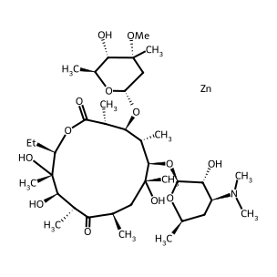 CC[C@H]1OC(=O)[C@H](C)[C@@H](O[C@H]2C[C@@](C)(OC)[C@@H](O)[C@H](C)O2)[C@H](C)[C@@H](O[C@@H]2O[C@H](C)C[C@H](N(C)C)[C@H]2O)[C@](C)(O)C[C@@H](C)C(=O)[C@H](C)[C@@H](O)[C@]1(C)O.[Zn]